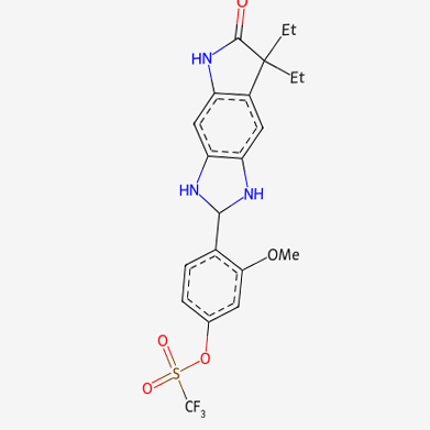 CCC1(CC)C(=O)Nc2cc3c(cc21)NC(c1ccc(OS(=O)(=O)C(F)(F)F)cc1OC)N3